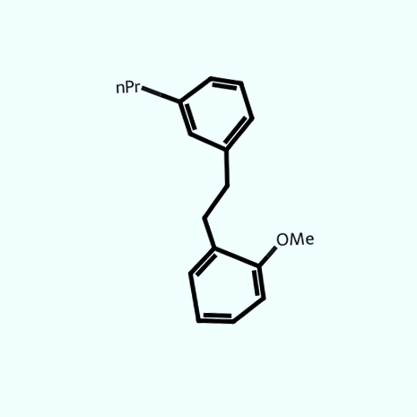 CCCc1cccc(CCc2ccccc2OC)c1